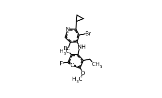 CCc1c(OC)cc(F)c(C)c1Nc1c(Br)cnc(C2CC2)c1Br